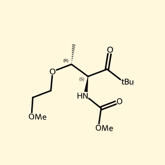 COCCO[C@H](C)[C@H](NC(=O)OC)C(=O)C(C)(C)C